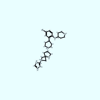 Fc1ccc(OC2CCOCC2)c(C2CCN([C@@H]3COC4(C3)CN(c3nnco3)C4)CC2)c1